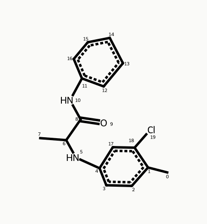 Cc1ccc(NC(C)C(=O)Nc2ccccc2)cc1Cl